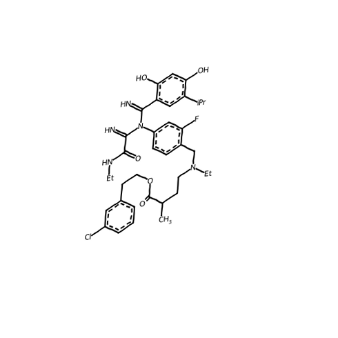 CCNC(=O)C(=N)N(C(=N)c1cc(C(C)C)c(O)cc1O)c1ccc(CN(CC)CCC(C)C(=O)OCCc2cccc(Cl)c2)c(F)c1